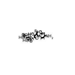 Nc1ccn([C@@H]2O[C@H](COP(=O)(O)CCP(=O)(O)O)[C@H](O)/C2=C\F)c(=O)n1